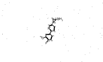 COc1cc(-c2ccc([C@H]3C[C@@H]3N)cn2)ccc1F